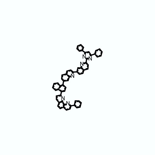 c1ccc(-c2cc(-c3ccccc3)nc(-c3ccc4ccc(-c5ccc6ccc(-c7ccc(-c8ccc9ccc%10ccc(-c%11ccccc%11)nc%10c9n8)c8ccccc78)cc6n5)cc4n3)n2)cc1